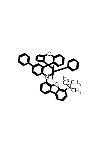 C[Si](C)(C)c1cccc2c1oc1c(N3c4ccc(-c5ccccc5)cc4C4(c5ccccc5Oc5ccccc54)c4cc(-c5ccccc5)ccc43)cccc12